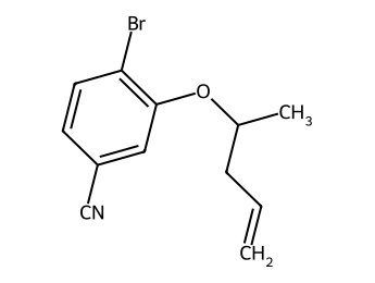 C=CCC(C)Oc1cc(C#N)ccc1Br